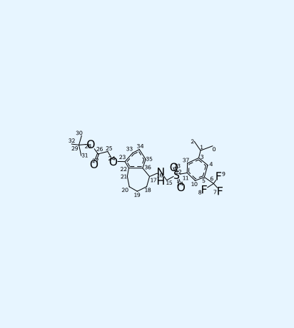 CC(C)c1cc(C(F)(F)F)cc(S(=O)(=O)CNC2CCCCc3c(OCC(=O)OC(C)(C)C)cccc32)c1